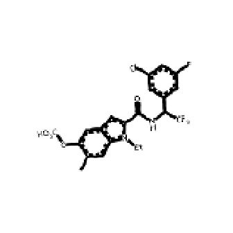 CCn1c(C(=O)NC(c2cc(F)cc(Cl)c2)C(F)(F)F)cc2cc(OC(=O)O)c(C)cc21